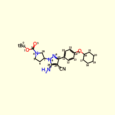 CC(C)(C)OC(=O)N1CCC(n2nc(-c3ccc(OC4CCCCC4)cc3)c(C#N)c2N)C1